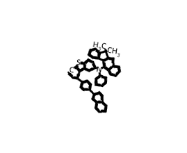 CC1(C)c2ccccc2-c2c1cc1ccccc1c2N(c1ccccc1)c1ccc2sc3cccc(-c4ccc(-c5ccc6ccccc6c5)cc4)c3c2c1